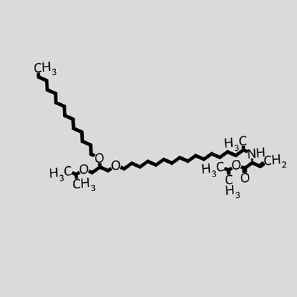 C=C[C@H](NC(C)CCCCCCCCCCCCCCCOCC(COC(C)C)OCCCCCCCCCCCCCC)C(=O)OC(C)C